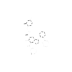 Cc1cc(C)c(CNC(=O)c2cc3c(-c4ccccc4C4COCCN4)ccn3c(C(C)C3CNCCO3)c2C)c(=O)[nH]1